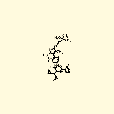 CCn1nccc1C(=O)N[C@H](C(=O)Nc1cnc(-c2c(C)nn(COCC[Si](C)(C)C)c2C)c(O)c1)C(C1CC1)C1CC1